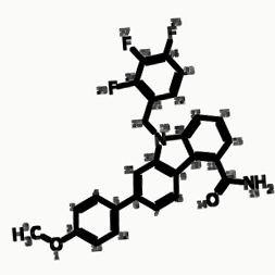 COc1ccc(-c2c[c]c3c4c(C(N)=O)cccc4n(Cc4ccc(F)c(F)c4F)c3c2)cc1